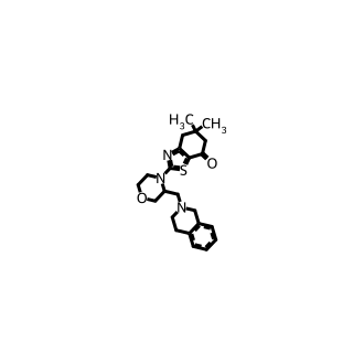 CC1(C)CC(=O)c2sc(N3CCOCC3CN3CCc4ccccc4C3)nc2C1